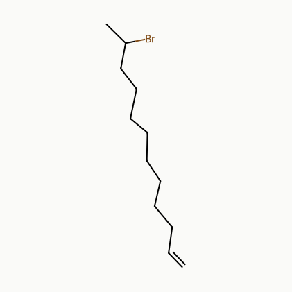 C=CCCCCCCCCC(C)Br